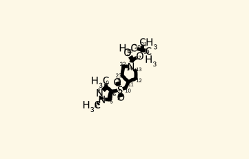 Cc1nn(C)cc1S(=O)(=O)CC1CCN(C(=O)OC(C)(C)C)CC1